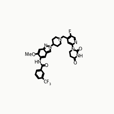 COc1cc2nn(C3CCN(Cc4cc(N5CCC(=O)NC5=O)ncc4F)CC3)cc2cc1NC(=O)c1cccc(C(F)(F)F)c1